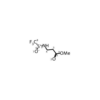 COC(=O)CCN[S+]([O-])C(F)(F)F